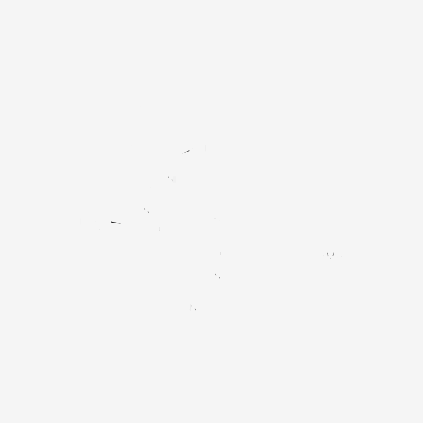 COc1ccc(CN(C(=O)OC(C)(C)C)c2cc(C[C@H]3C(=O)N(C(=O)N[C@H](C)c4ccccc4)[C@@H]3C(=O)O)ccn2)cc1